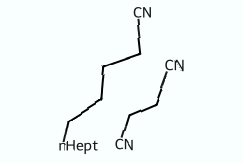 CCCCCCCCCCCC#N.N#CCCC#N